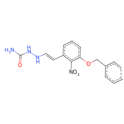 NC(=O)NN/C=C/c1cccc(OCc2ccccc2)c1[N+](=O)[O-]